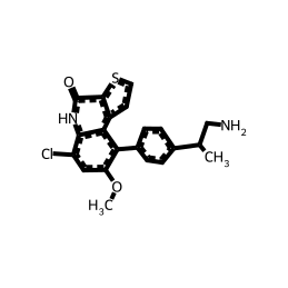 COc1cc(Cl)c2[nH]c(=O)c3sccc3c2c1-c1ccc(C(C)CN)cc1